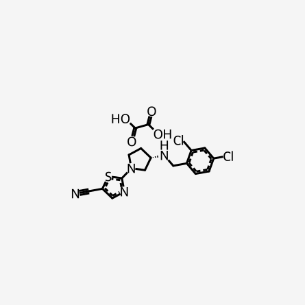 N#Cc1cnc(N2CC[C@H](NCc3ccc(Cl)cc3Cl)C2)s1.O=C(O)C(=O)O